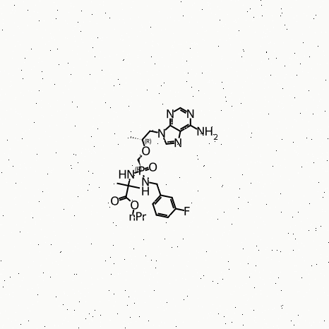 CCCOC(=O)C(C)(C)N[P@@](=O)(CO[C@H](C)Cn1cnc2c(N)ncnc21)NCc1cccc(F)c1